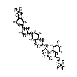 Cc1ccc(COCC(F)(F)F)c(N2C(=O)CSC2=NC(=O)Nc2ccc(-c3ncn(-c4ccc(OC(F)(F)F)cn4)n3)cc2F)c1